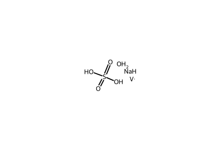 O.O=S(=O)(O)O.[NaH].[V]